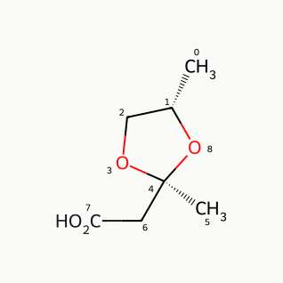 C[C@H]1CO[C@](C)(CC(=O)O)O1